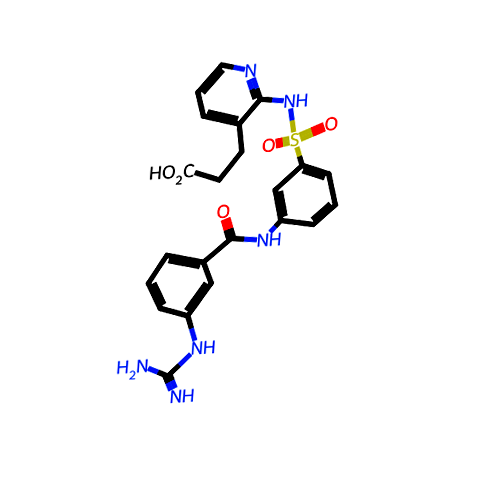 N=C(N)Nc1cccc(C(=O)Nc2cccc(S(=O)(=O)Nc3ncccc3CCC(=O)O)c2)c1